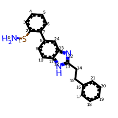 NSc1ccccc1-c1ccc2[nH]c(CCc3ccccc3)nc2c1